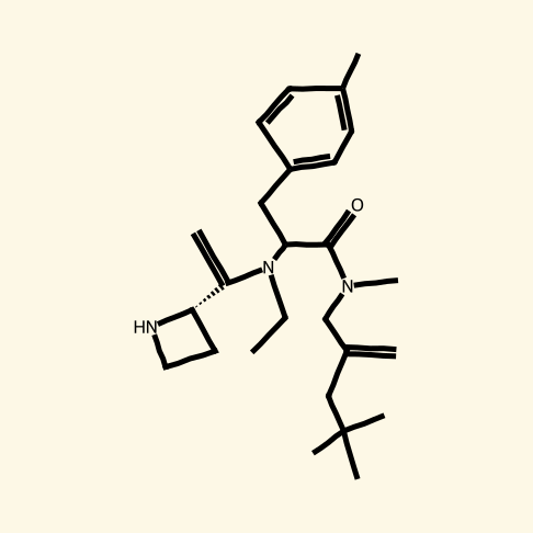 C=C(CN(C)C(=O)C(Cc1ccc(C)cc1)N(CC)C(=C)[C@@H]1CCN1)CC(C)(C)C